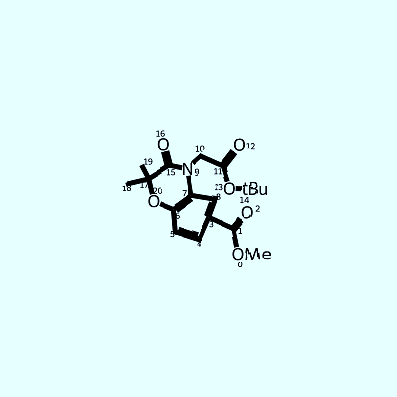 COC(=O)c1ccc2c(c1)N(CC(=O)OC(C)(C)C)C(=O)C(C)(C)O2